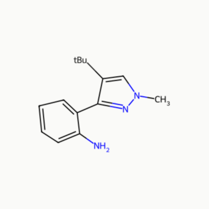 Cn1cc(C(C)(C)C)c(-c2ccccc2N)n1